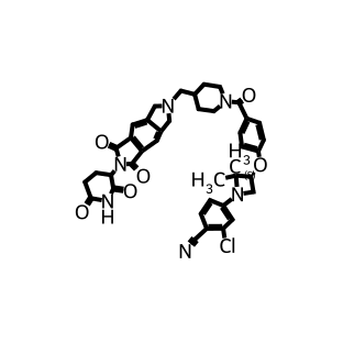 CC1(C)[C@@H](Oc2ccc(C(=O)N3CCC(CN4Cc5cc6c(cc5C4)C(=O)N(C4CCC(=O)NC4=O)C6=O)CC3)cc2)CN1c1ccc(C#N)c(Cl)c1